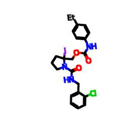 CCc1ccc(NC(=O)OCC2(I)CCCN2C(=O)NCc2ccccc2Cl)cc1